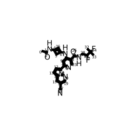 CC(=O)NC12CC(Nc3cc(-c4ccc5cc(C#N)cnn45)ncc3C(=O)NC[C@@H](F)C(C)(C)F)(C1)C2